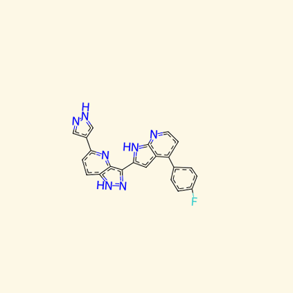 Fc1ccc(-c2ccnc3[nH]c(-c4n[nH]c5ccc(-c6cn[nH]c6)nc45)cc23)cc1